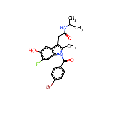 Cc1c(CC(=O)NC(C)C)c2cc(O)c(F)cc2n1C(=O)c1ccc(Br)cc1